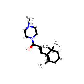 CC1=C(C=CC(=O)N2CCN(C=O)CC2)C(C)(C)CCC1